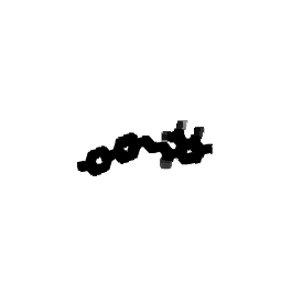 Cc1ccc(C(=O)CCCc2ccc(C3CCC(C)CC3)cc2)c(C(F)F)c1F